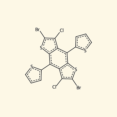 Clc1c(Br)sc2c(-c3cccs3)c3c(Cl)c(Br)sc3c(-c3cccs3)c12